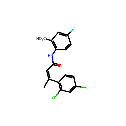 C/C(=C/C(=O)Nc1ccc(F)cc1C(=O)O)c1ccc(Cl)cc1Cl